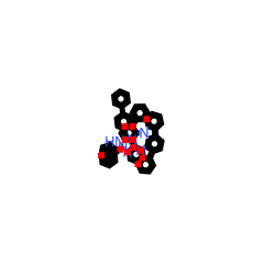 c1ccc(C2=NC(n3c4ccccc4c4ccc5c6ccccc6n(-c6c(-c7ccccc7)ccc7c6c6ccccc6n7-c6ccccc6)c5c43)=NC(c3ccc(-c4ccccc4)cc3)N2)cc1